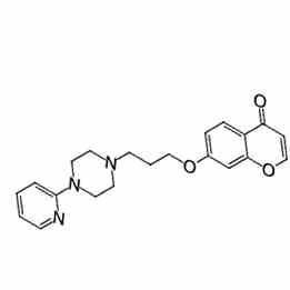 O=c1ccoc2cc(OCCCN3CCN(c4ccccn4)CC3)ccc12